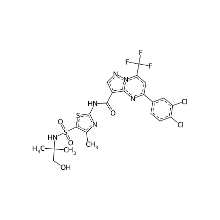 Cc1nc(NC(=O)c2cnn3c(C(F)(F)F)cc(-c4ccc(Cl)c(Cl)c4)nc23)sc1S(=O)(=O)NC(C)(C)CO